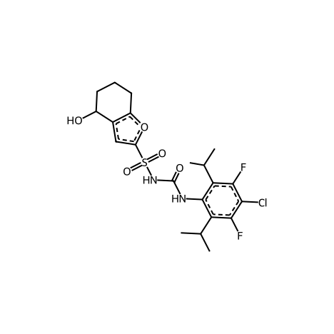 CC(C)c1c(F)c(Cl)c(F)c(C(C)C)c1NC(=O)NS(=O)(=O)c1cc2c(o1)CCCC2O